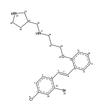 Clc1ccc(/C=C/c2ccccc2OCCCNCC2CCNC2)c(Br)c1